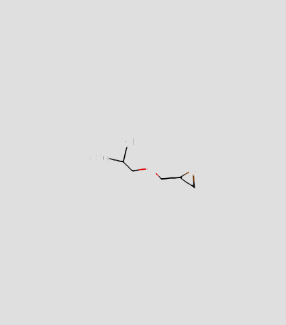 CCCCC(C)COCC1CS1